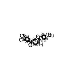 CC(C)(C)c1ccc(NC(=O)N2CCCN(C(=O)c3ccc(Cl)c(Cl)c3)CC2)cc1